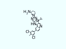 Cc1c(Cl)cc(-c2ccc3ncc(C(=O)C4CC4)c(Nc4cnc(N5CCCC(N)C5)nc4)c3c2)cc1Cl